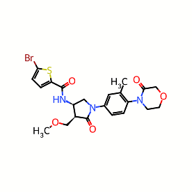 COC[C@@H]1C(=O)N(c2ccc(N3CCOCC3=O)c(C)c2)C[C@@H]1NC(=O)c1ccc(Br)s1